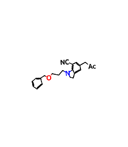 CC(=O)Cc1cc(C#N)c2c(c1)CCN2CCCOCc1ccccc1